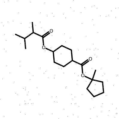 CC(C)C(C)C(=O)OC1CCC(C(=O)OC2(C)CCCC2)CC1